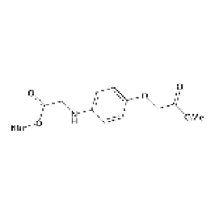 COC(=O)COc1ccc(NCC(=O)OC(C)(C)C)cc1